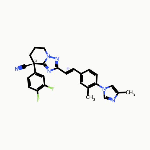 Cc1cn(-c2ccc(/C=C/c3nc4n(n3)CCC[C@@]4(C#N)c3ccc(F)c(F)c3)cc2C)cn1